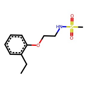 CCc1ccccc1OCCNS(C)(=O)=O